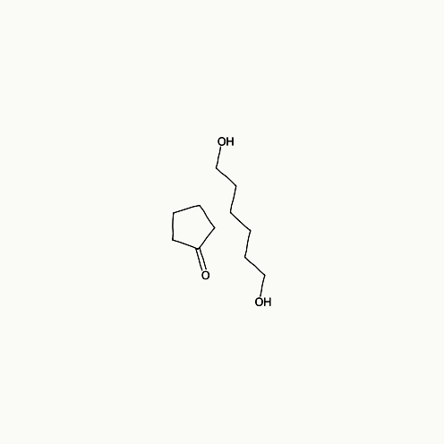 O=C1CCCC1.OCCCCCCO